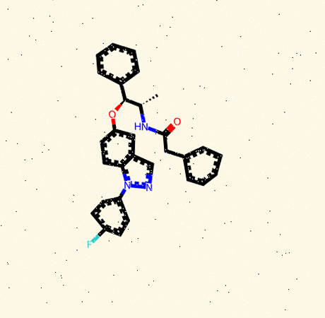 C[C@H](NC(=O)Cc1ccccc1)[C@@H](Oc1ccc2c(cnn2-c2ccc(F)cc2)c1)c1ccccc1